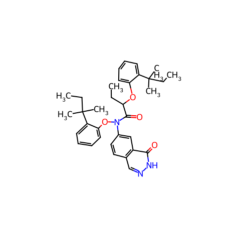 CCC(Oc1ccccc1C(C)(C)CC)C(=O)N(Oc1ccccc1C(C)(C)CC)c1ccc2cn[nH]c(=O)c2c1